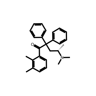 Cc1cccc(C(=O)C(C[C@H](C)N(C)C)(c2ccccc2)c2ccccc2)c1C